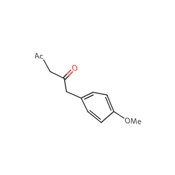 COc1ccc(CC(=O)CC(C)=O)cc1